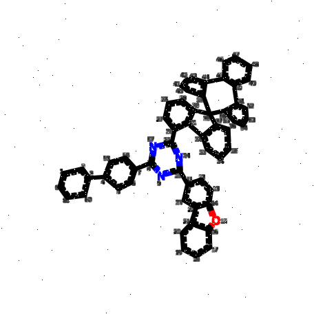 c1ccc(-c2ccc(-c3nc(-c4ccc5oc6ccccc6c5c4)nc(-c4cccc5c4-c4ccccc4C54c5ccccc5-c5ccccc5-c5ccccc54)n3)cc2)cc1